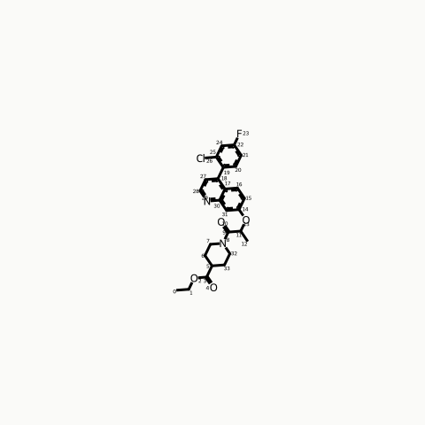 CCOC(=O)C1CCN(C(=O)C(C)Oc2ccc3c(-c4ccc(F)cc4Cl)ccnc3c2)CC1